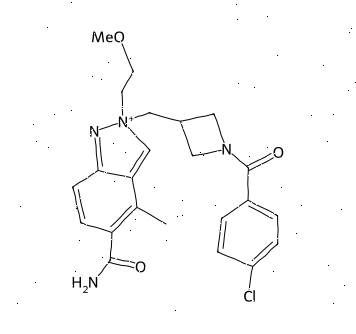 COCC[N+]1(CC2CN(C(=O)c3ccc(Cl)cc3)C2)C=c2c(C)c(C(N)=O)ccc2=N1